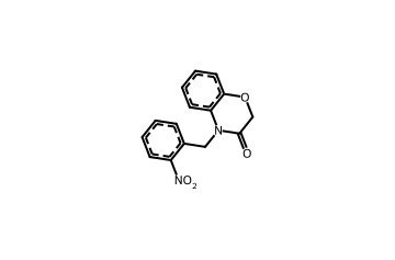 O=C1COc2ccccc2N1Cc1ccccc1[N+](=O)[O-]